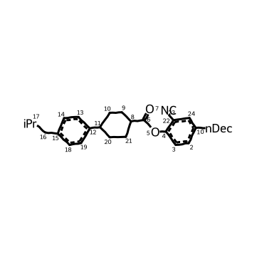 CCCCCCCCCCc1ccc(OC(=O)C2CCC(c3ccc(CC(C)C)cc3)CC2)c(C#N)c1